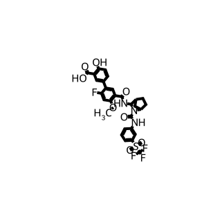 COc1cc(F)c(-c2ccc(O)c(C(=O)O)c2)cc1C(=O)NC1C2CCC(C2)N1C(=O)Nc1cccc(S(=O)(=O)C(F)(F)F)c1